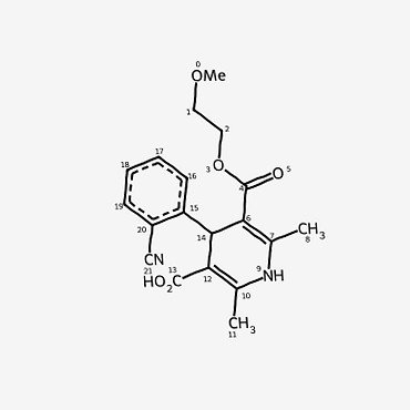 COCCOC(=O)C1=C(C)NC(C)=C(C(=O)O)C1c1ccccc1C#N